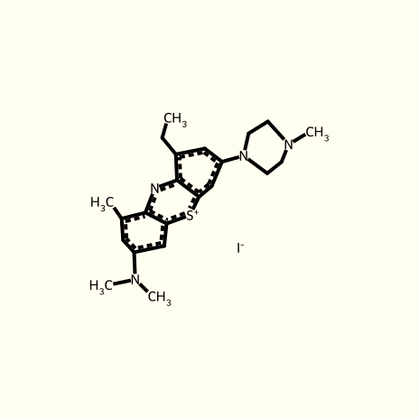 CCc1cc(N2CCN(C)CC2)cc2[s+]c3cc(N(C)C)cc(C)c3nc12.[I-]